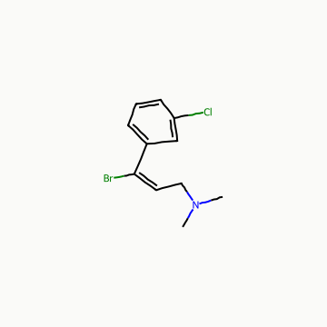 CN(C)C/C=C(/Br)c1cccc(Cl)c1